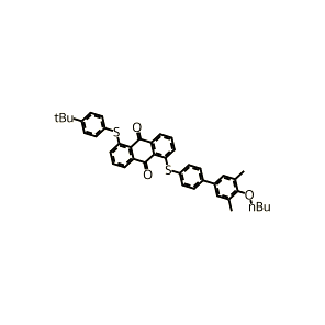 CCCCOc1c(C)cc(-c2ccc(Sc3cccc4c3C(=O)c3cccc(Sc5ccc(C(C)(C)C)cc5)c3C4=O)cc2)cc1C